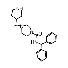 CC(C1CCNCC1)N1CCN(C(=O)NC(c2ccccc2)c2ccccc2)CC1